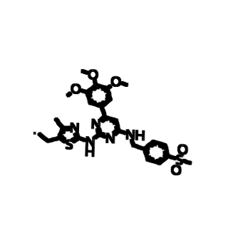 [CH2]Cc1sc(Nc2nc(NCc3ccc(S(C)(=O)=O)cc3)cc(-c3cc(OC)c(OC)c(OC)c3)n2)nc1C